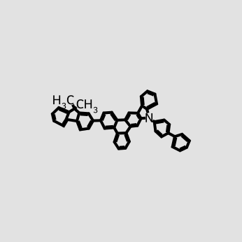 CC1(C)c2ccccc2-c2ccc(-c3ccc4c(c3)c3ccccc3c3cc5c(cc43)c3ccccc3n5-c3ccc(-c4ccccc4)cc3)cc21